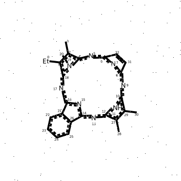 CCc1c(C)c2nc3nc(nc4[nH]c(nc5nc(nc1n2C)-c1ccccc1-5)c(C)c4C)C=C3